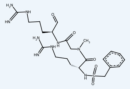 CN(CC(=O)N[C@H](C=O)CCCNC(=N)N)C(=O)[C@@H](CCCNC(=N)N)NS(=O)(=O)Cc1ccccc1